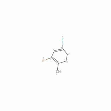 N#CC1=C(Br)C=C(F)CC1